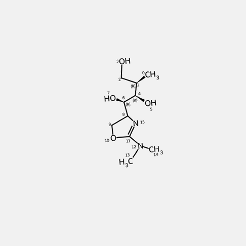 C[C@H](CO)[C@@H](O)[C@H](O)C1COC(N(C)C)=N1